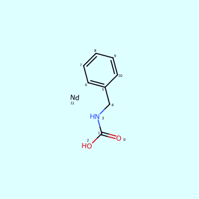 O=C(O)NCc1ccccc1.[Nd]